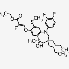 CCCCC1(CCCC)CN(c2ccc(F)c(F)c2)c2cc(SC)c(O/C=C(\F)C(=O)OCC)cc2S(O)(O)C1